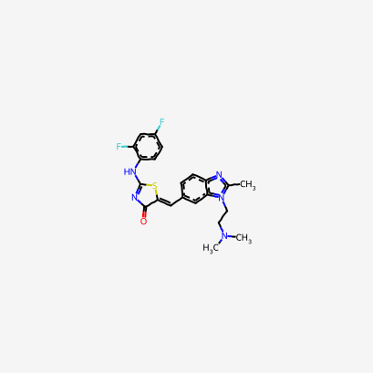 Cc1nc2ccc(/C=C3\SC(Nc4ccc(F)cc4F)=NC3=O)cc2n1CCN(C)C